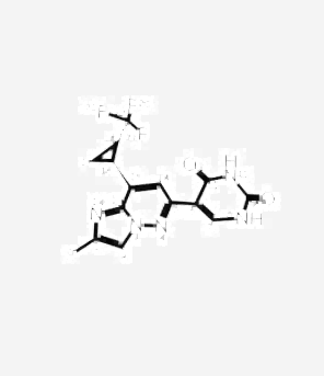 Cc1cn2nc(-c3c[nH]c(=O)[nH]c3=O)cc([C@H]3C[C@@H]3C(F)(F)F)c2n1